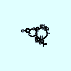 C=C(C)C(=O)C[C@]1(OC)/C=C/C[C@H](C)[C@@H](C)S(=O)(=O)NC(=O)c2ccc3c(c2)N(CCCCc2cc(Cl)ccc2CO3)C[C@@H]2CC[C@H]21